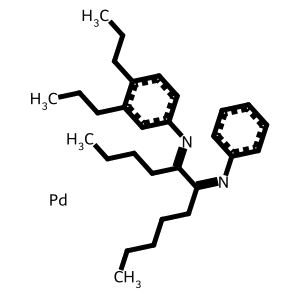 CCCCCC(=Nc1ccccc1)C(CCCC)=Nc1ccc(CCC)c(CCC)c1.[Pd]